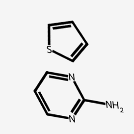 Nc1ncccn1.c1ccsc1